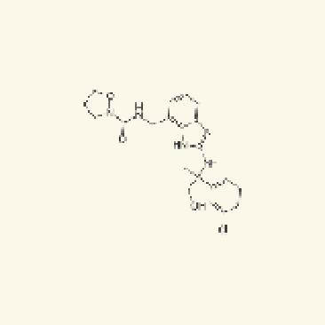 CC(CO)(Nc1nc2cccc(CNC(=O)N3CCCO3)c2[nH]1)c1cccc(Cl)c1